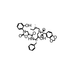 CC[C@H](C)CN(C[C@@H](O)[C@H](Cc1ccccc1)NC(=O)[C@@H]1CN(c2ccccc2O)C(=O)O1)S(=O)(=O)c1ccc2c(c1)OCO2